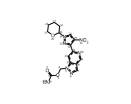 CC(C)(C)C(=O)OCn1ncc2cnc(-c3nn(C4CCCCO4)cc3[N+](=O)[O-])cc21